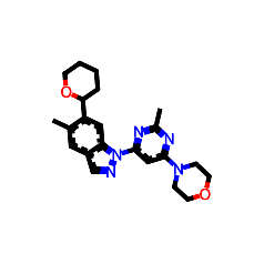 Cc1nc(N2CCOCC2)cc(-n2ncc3cc(C)c(C4CCCCO4)cc32)n1